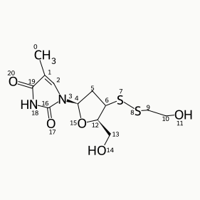 Cc1cn([C@H]2CC(SSCCO)[C@@H](CO)O2)c(=O)[nH]c1=O